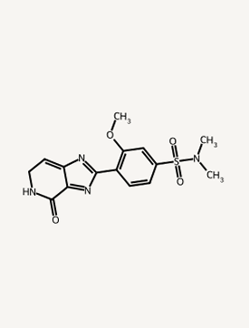 COc1cc(S(=O)(=O)N(C)C)ccc1C1=NC2=CCNC(=O)C2=N1